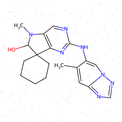 Cc1cc2ncnn2cc1Nc1ncc2c(n1)C1(CCCCC1)C(O)N2C